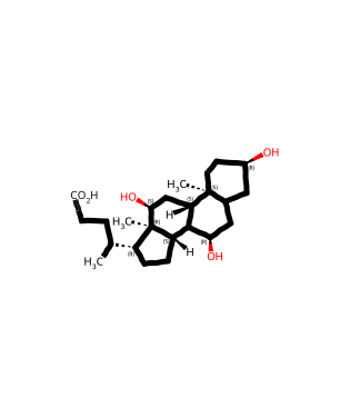 CC(CCC(=O)O)[C@H]1CC[C@H]2C3[C@H](O)CC4C[C@H](O)CC[C@]4(C)[C@H]3C[C@H](O)[C@]12C